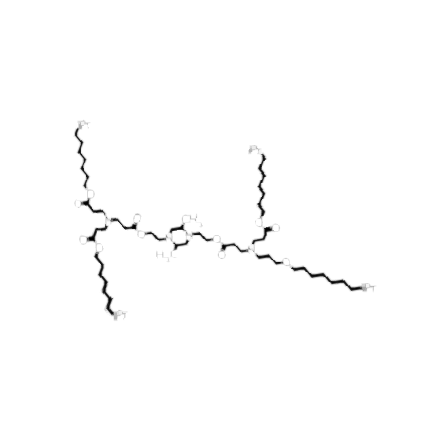 CC(C)CCCCCCCOCCCN(CCC(=O)OCCCCCCCC(C)C)CCC(=O)OCCN1CC(C)N(CCOC(=O)CCN(CCC(=O)OCCCCCCCC(C)C)CCC(=O)OCCCCCCCC(C)C)CC1C